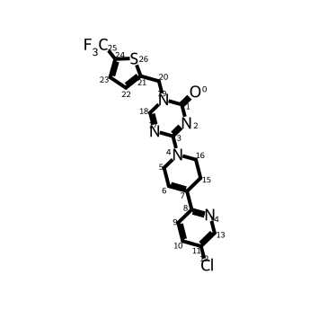 O=c1nc(N2CC=C(c3ccc(Cl)cn3)CC2)ncn1Cc1ccc(C(F)(F)F)s1